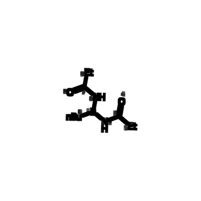 C[CH]CCB(NC(=O)CC)NC(=O)CC